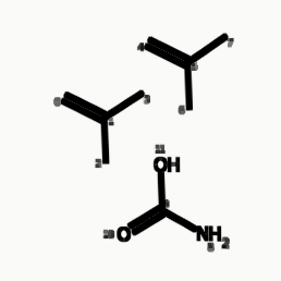 C=C(C)C.C=C(C)C.NC(=O)O